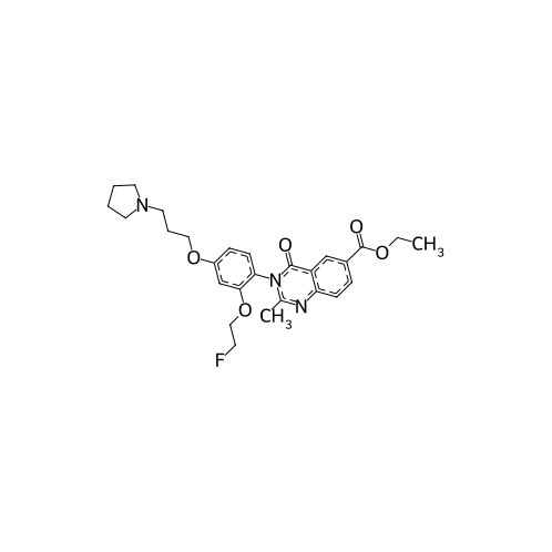 CCOC(=O)c1ccc2nc(C)n(-c3ccc(OCCCN4CCCC4)cc3OCCF)c(=O)c2c1